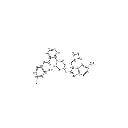 Cc1ccc2nc(CC3CCN(c4ccccc4OCc4ccc(Cl)cc4F)CC3)n(C[C@@H]3CCO3)c2c1